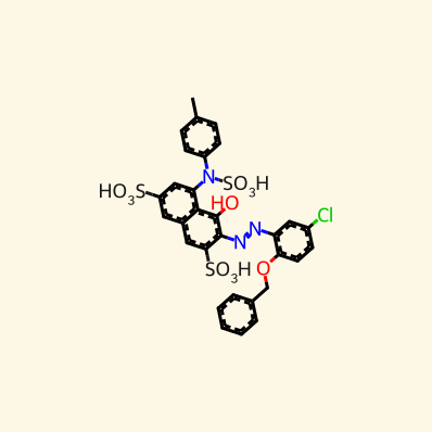 Cc1ccc(N(c2cc(S(=O)(=O)O)cc3cc(S(=O)(=O)O)c(N=Nc4cc(Cl)ccc4OCc4ccccc4)c(O)c23)S(=O)(=O)O)cc1